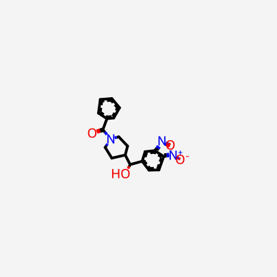 O=C(c1ccccc1)N1CCC(C(O)c2ccc3c(c2)no[n+]3[O-])CC1